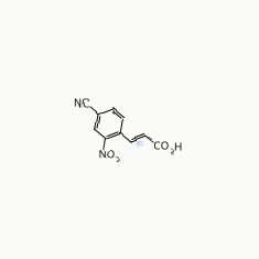 N#Cc1ccc(/C=C/C(=O)O)c([N+](=O)[O-])c1